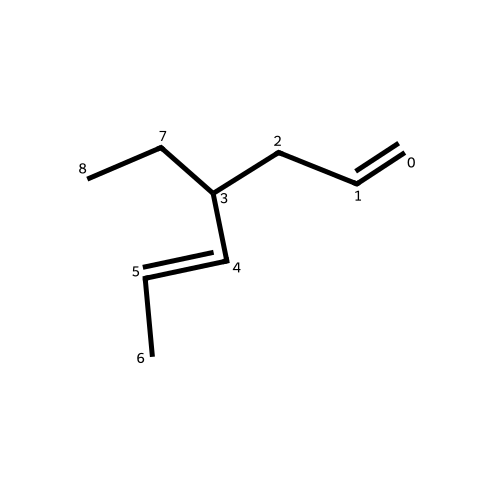 C=CCC(C=CC)CC